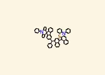 c1ccc(C(c2ccc3c(c2)-c2ccccc2C32c3ccccc3N(c3ccccc3)c3ccccc32)c2cc3sc4c(N(c5ccccc5)c5ccccc5)cc5ccccc5c4c3c3ccccc23)cc1